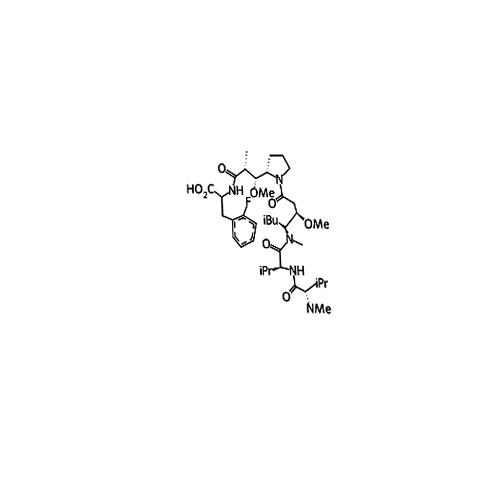 CC[C@H](C)[C@@H]([C@@H](CC(=O)N1CCC[C@H]1[C@H](OC)[C@@H](C)C(=O)NC(Cc1ccccc1F)C(=O)O)OC)N(C)C(=O)[C@@H](NC(=O)[C@@H](NC)C(C)C)C(C)C